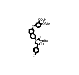 COc1ccc(Oc2ccc3c(c2)C[C@@H](N(C[C@@H](O)c2ccc(Cl)cc2)C(=O)OC(C)(C)C)CC3)cc1C(=O)O